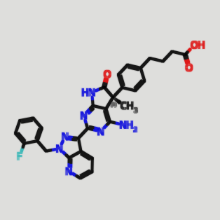 C[C@]1(c2ccc(CCCC(=O)O)cc2)C(=O)Nc2nc(-c3nn(Cc4ccccc4F)c4ncccc34)nc(N)c21